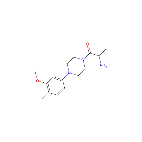 COc1cc(N2CCN(C(=O)C(C)N)CC2)ccc1C